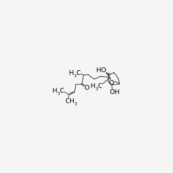 CC(C)=CCC(=O)C(C)CCCC1(C)OCC2CC[C@@]1(O)CC2O